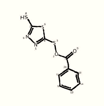 O=C(OSc1nnc(S)s1)c1ccccc1